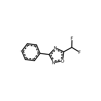 FC(F)c1nc(-c2cc[c]cc2)no1